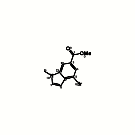 COC(=O)c1cc(Br)c2ccn(C)c2c1